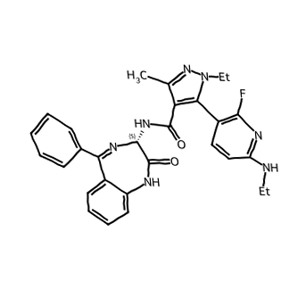 CCNc1ccc(-c2c(C(=O)N[C@H]3N=C(c4ccccc4)c4ccccc4NC3=O)c(C)nn2CC)c(F)n1